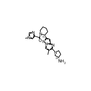 Cc1cn2nc([C@@H]3CCCCN3C(=O)c3cn(C)cn3)cc2nc1N1CC[C@H](N)C1